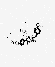 C[C@H](NCCc1ccc(O)cc1)[C@H](O)c1ccc(O)cc1.Cl.O